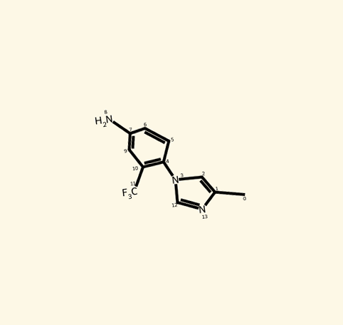 Cc1cn(-c2ccc(N)cc2C(F)(F)F)cn1